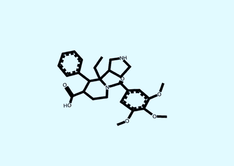 CCC1(C2CCNC2)C(c2ccccc2)C(C(=O)O)CCN1C(=O)c1cc(OC)c(OC)c(OC)c1